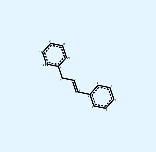 C(=Cc1ccccc1)Cc1ccccn1